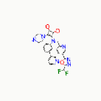 CN1CCN(c2c(N(Cc3ccc(-c4nnc(C(F)F)o4)cn3)c3cccc(-c4cccnc4)c3)c(=O)c2=O)CC1